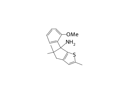 COc1ccccc1C1(N)c2sc(C)cc2CC1(C)C